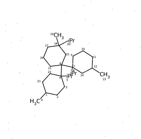 CC1CCC(C(C)C)(C2(C3(C(C)C)CCCC(C)C3)CCCC(C)(C(C)C)C2)CC1